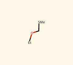 [CH2]SCOCC